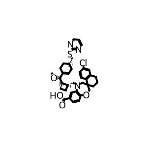 CO[C@H](C1=CC[C@@H](CSc2ncccn2)CC1)[C@@H]1CC[C@H]1CN1CC2(CCCc3cc(Cl)ccc32)COc2ccc(C(=O)O)cc21